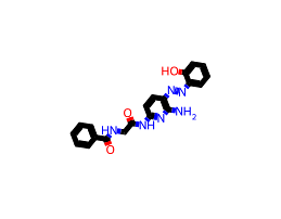 Nc1nc(NC(=O)CNC(=O)c2ccccc2)ccc1/N=N/c1ccccc1O